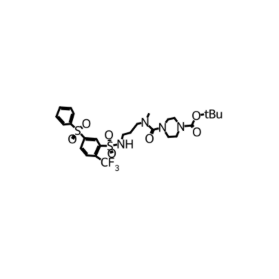 CN(CCCNS(=O)(=O)c1cc(S(=O)(=O)c2ccccc2)ccc1C(F)(F)F)C(=O)N1CCN(C(=O)OC(C)(C)C)CC1